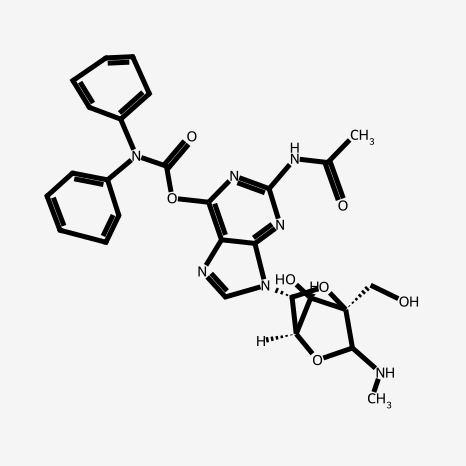 CNC1O[C@H]2[C@H](n3cnc4c(OC(=O)N(c5ccccc5)c5ccccc5)nc(NC(C)=O)nc43)O[C@]1(CO)[C@H]2O